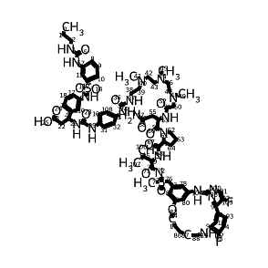 CCCNC(=O)Nc1cccc(S(=O)(=O)Nc2cccc(C(CC(=O)O)NC(=O)Nc3ccc(NC(=O)NCCN(C)CCN(C)CCN(C)CC(=O)NC(CC(N)=O)C(=O)N4CCCC4C(=O)NC(C(=O)N=S(C)(=O)Cc4cc5cc(c4)OCCCCCNc4cc(ccc4F)-c4nc(ncc4F)N5)C(C)C)cc3)c2)c1